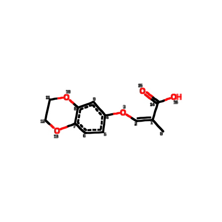 CC(=COc1ccc2c(c1)OCCO2)C(=O)O